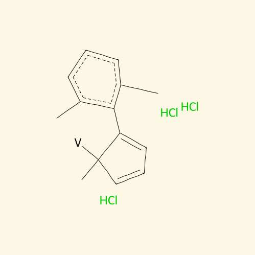 Cc1cccc(C)c1C1=CC=C[C]1(C)[V].Cl.Cl.Cl